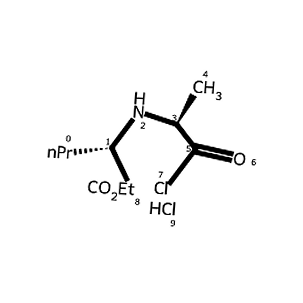 CCC[C@H](N[C@@H](C)C(=O)Cl)C(=O)OCC.Cl